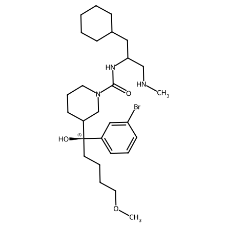 CNCC(CC1CCCCC1)NC(=O)N1CCCC([C@@](O)(CCCCOC)c2cccc(Br)c2)C1